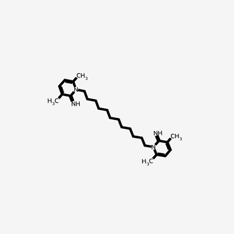 Cc1ccc(C)n(CCCCCCCCCCCCn2c(C)ccc(C)c2=N)c1=N